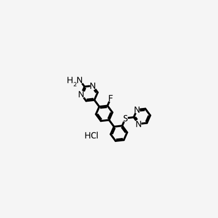 Cl.Nc1ncc(-c2ccc(-c3ccccc3Sc3ncccn3)cc2F)cn1